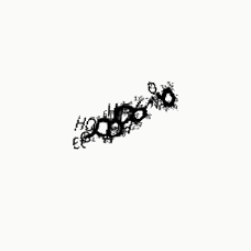 CCOC[C@@]1(O)CC[C@H]2[C@H](CC[C@@H]3[C@@H]2CC[C@]2(C)[C@@H](CNC(=O)c4ccccc4)CC[C@@H]32)C1